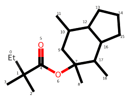 CCC(C)(C)C(=O)OC1(C)CC(C)C2CCCC2C1C